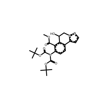 COC(=O)c1c(N(C(=O)OC(C)(C)C)C(=O)OC(C)(C)C)ccc2c1C(O)Cn1nccc1-2